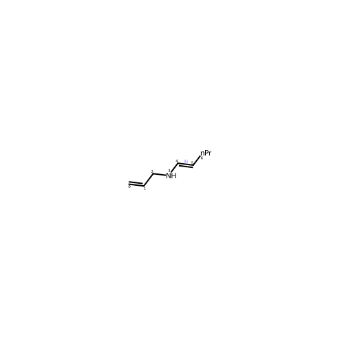 C=CCN/C=C/CCC